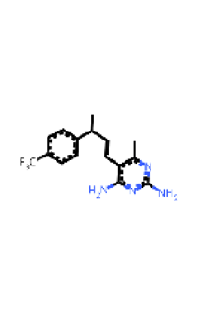 Cc1nc(N)nc(N)c1C=CC(C)c1ccc(C(F)(F)F)cc1